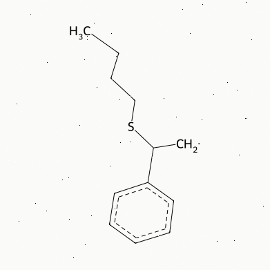 [CH2]C(SCCCC)c1ccccc1